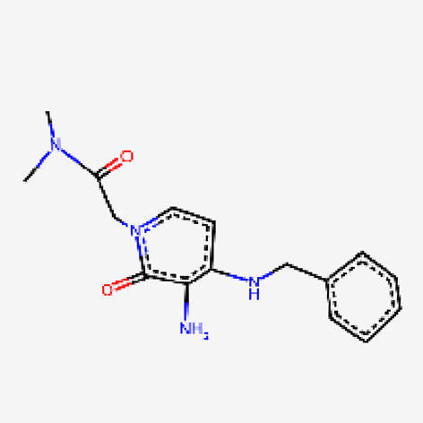 CN(C)C(=O)Cn1ccc(NCc2ccccc2)c(N)c1=O